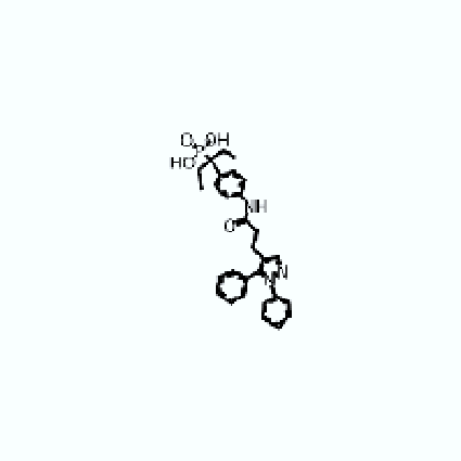 CCC(CC)(c1ccc(NC(=O)CCc2cnn(-c3ccccc3)c2-c2ccccc2)cc1)P(=O)(O)O